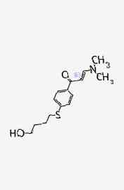 CN(C)/C=C/C(=O)c1ccc(SCCCCO)cc1